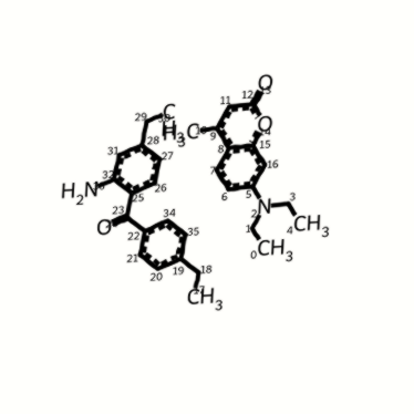 CCN(CC)c1ccc2c(C)cc(=O)oc2c1.CCc1ccc(C(=O)c2ccc(CC)cc2N)cc1